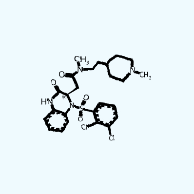 CN1CCC(CCN(C)C(=O)C[C@@H]2C(=O)Nc3ccccc3N2S(=O)(=O)c2cccc(Cl)c2Cl)CC1